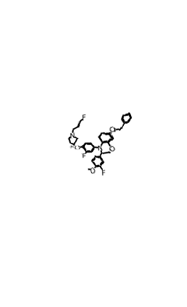 COc1ccc(C2COc3cc(OCc4ccccc4)ccc3N2c2ccc(O[C@@H]3CCN(CCCF)C3)c(F)c2)cc1F